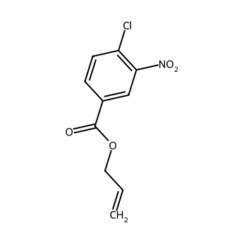 C=CCOC(=O)c1ccc(Cl)c([N+](=O)[O-])c1